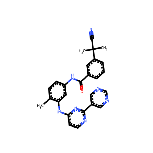 Cc1ccc(NC(=O)c2cccc(C(C)(C)C#N)c2)cc1Nc1ccnc(-c2cncnc2)n1